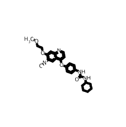 [C-]#[N+]c1cc2c(Oc3ccc(NC(=O)NC4CCCCC4)cc3)ccnc2cc1OCCOC